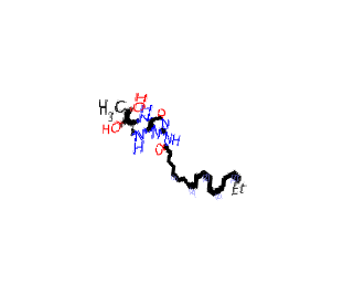 CC/C=C\C/C=C\C/C=C\C/C=C\C/C=C\CCCC(=O)NC1=NC(=O)C2N[C@@H]([C@@H](O)[C@H](C)O)CNC2=N1